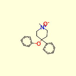 C[N+]1([O-])CCC(Oc2ccccc2)(c2ccccc2)CC1